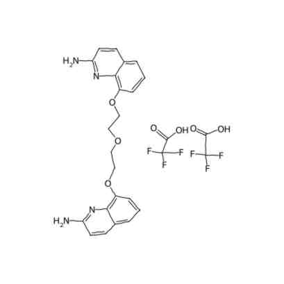 Nc1ccc2cccc(OCCOCCOc3cccc4ccc(N)nc34)c2n1.O=C(O)C(F)(F)F.O=C(O)C(F)(F)F